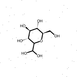 OC[C@H]1OC(C(O)O)[C@H](O)[C@@H](O)[C@@H]1O